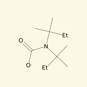 CCC(C)(C)N(C([O])=O)C(C)(C)CC